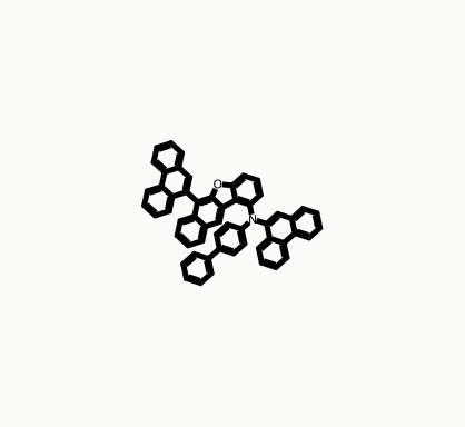 c1ccc(-c2ccc(N(c3cc4ccccc4c4ccccc34)c3cccc4oc5c(-c6cc7ccccc7c7ccccc67)c6ccccc6cc5c34)cc2)cc1